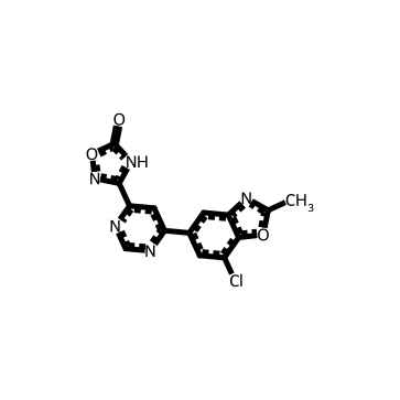 Cc1nc2cc(-c3cc(-c4noc(=O)[nH]4)ncn3)cc(Cl)c2o1